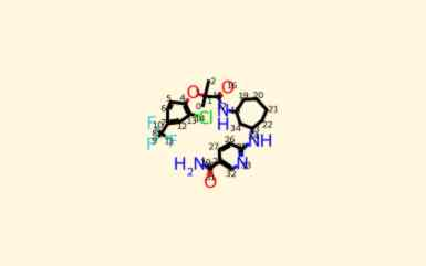 CC(C)(Oc1ccc(C(F)(F)F)cc1Cl)C(=O)NC1CCCCC(Nc2ccc(C(N)=O)cn2)C1